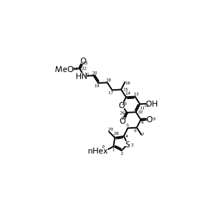 CCCCCCc1csc(CC(C)C(=O)c2c(O)cc(C(C)CC/C=C/NC(=O)OC)oc2=O)c1C